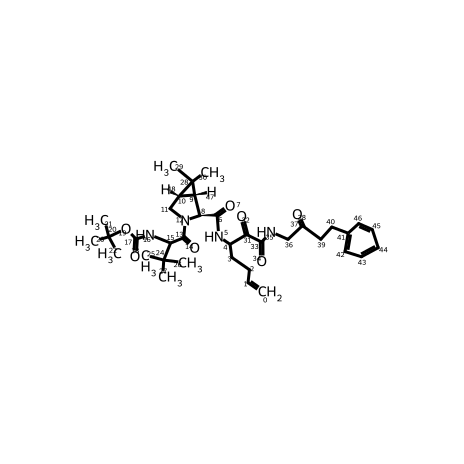 C=CCCC(NC(=O)[C@@H]1[C@@H]2[C@H](CN1C(=O)C(NC(=O)OC(C)(C)C)C(C)(C)C)C2(C)C)C(=O)C(=O)NCC(=O)CCc1ccccc1